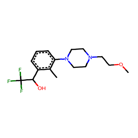 COCCN1CCN(c2cccc(C(O)C(F)(F)F)c2C)CC1